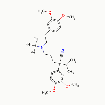 [2H]C([2H])([2H])N(CCCC(C#N)(c1ccc(OC)c(OC)c1)C(C)C)CCc1ccc(OC)c(OC)c1